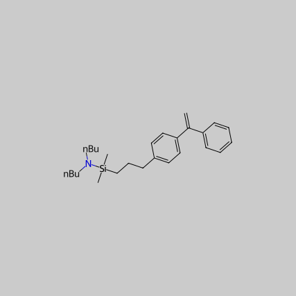 C=C(c1ccccc1)c1ccc(CCC[Si](C)(C)N(CCCC)CCCC)cc1